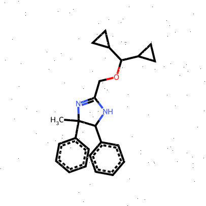 CC1(c2ccccc2)N=C(COC(C2CC2)C2CC2)NC1c1ccccc1